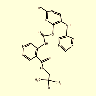 CC(C)c1ncc(Nc2cncnc2)c(OC(=O)Nc2cnccc2C(=O)NCC(C)(C)O)n1